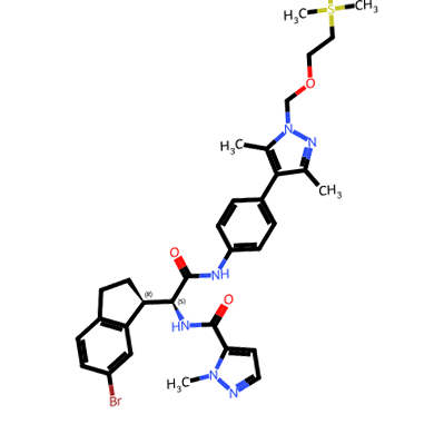 Cc1nn(COCCS(C)(C)C)c(C)c1-c1ccc(NC(=O)[C@@H](NC(=O)c2ccnn2C)[C@@H]2CCc3ccc(Br)cc32)cc1